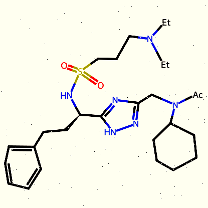 CCN(CC)CCCS(=O)(=O)N[C@H](CCc1ccccc1)c1nc(CN(C(C)=O)C2CCCCC2)n[nH]1